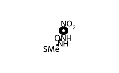 CSCNC(=O)Nc1ccc([N+](=O)[O-])cc1